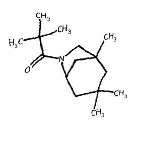 CC1(C)CC2CC(C)(CN2C(=O)C(C)(C)C)C1